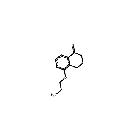 CCCOc1cccc2c1CCCC2=O